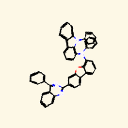 c1ccc(-c2nc(-c3ccc4c(c3)oc3c(N(c5ccccc5)c5cccc6c7ccccc7n(-c7ccccc7)c56)cccc34)nc3ccccc23)cc1